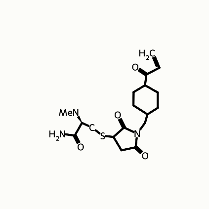 C=CC(=O)C1CCC(CN2C(=O)CC(SC[C@H](NC)C(N)=O)C2=O)CC1